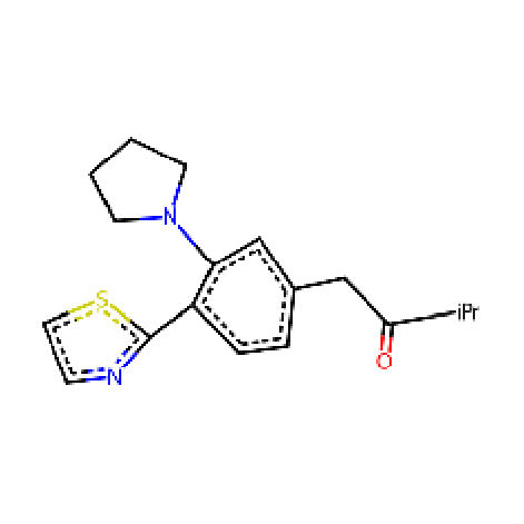 CC(C)C(=O)Cc1ccc(-c2nccs2)c(N2CCCC2)c1